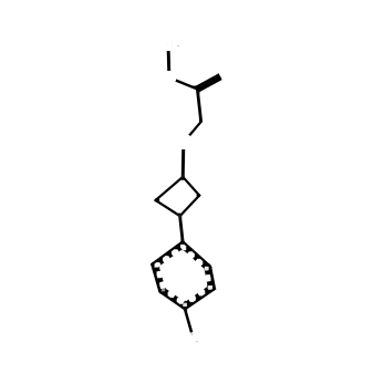 CC(C)(C)OC(=O)COC1CC(c2ccc(Br)cc2)C1